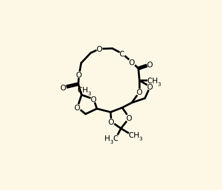 CC1(C)OC2C3COC(C)(O3)C(=O)OCCOCCOC(=O)C3(C)OCC(O3)C2O1